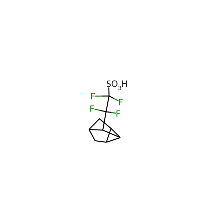 O=S(=O)(O)C(F)(F)C(F)(F)C1C2CC3C(C2)C31